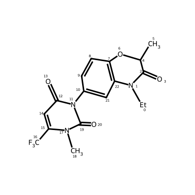 CCN1C(=O)C(C)Oc2ccc(-n3c(=O)cc(C(F)(F)F)n(C)c3=O)cc21